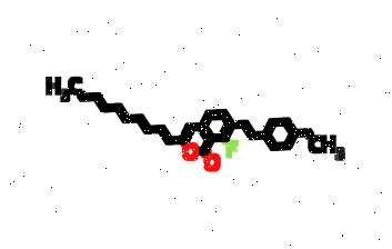 CCCCCCCCCCc1cc2ccc(CCC3CCC(CC)CC3)c(F)c2c(=O)o1